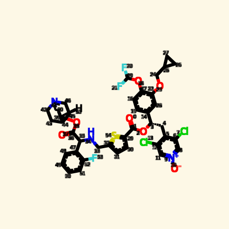 O=C(O[C@@H](Cc1c(Cl)c[n+]([O-])cc1Cl)c1ccc(OC(F)F)c(OCC2CC2)c1)c1ccc(CNC(C(=O)O[C@H]2CN3CCC2CC3)c2ccccc2F)s1